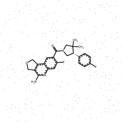 CC1(C)CN(C(=O)c2cc3c4c(c(N)nc3cc2F)COC4)C[C@H]1c1ccc(F)cc1